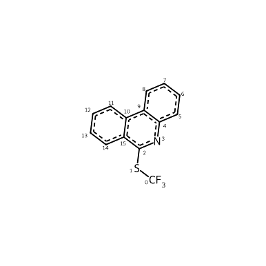 FC(F)(F)Sc1nc2ccccc2c2ccccc12